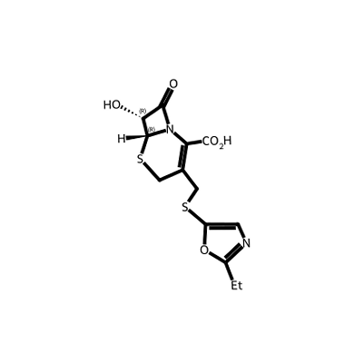 CCc1ncc(SCC2=C(C(=O)O)N3C(=O)[C@@H](O)[C@H]3SC2)o1